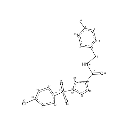 Cc1cnc(CNC(=O)c2ccn(S(=O)(=O)c3ccc(Cl)cc3)n2)cn1